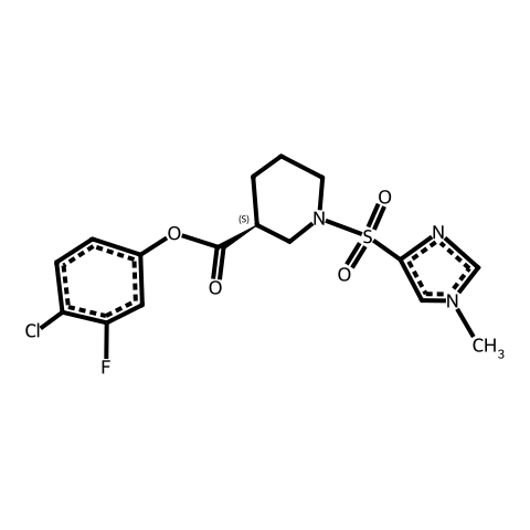 Cn1cnc(S(=O)(=O)N2CCC[C@H](C(=O)Oc3ccc(Cl)c(F)c3)C2)c1